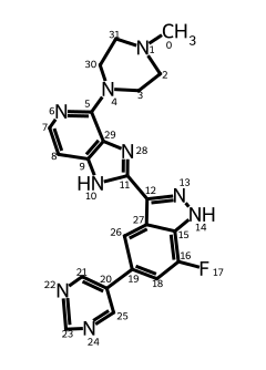 CN1CCN(c2nccc3[nH]c(-c4n[nH]c5c(F)cc(-c6cncnc6)cc45)nc23)CC1